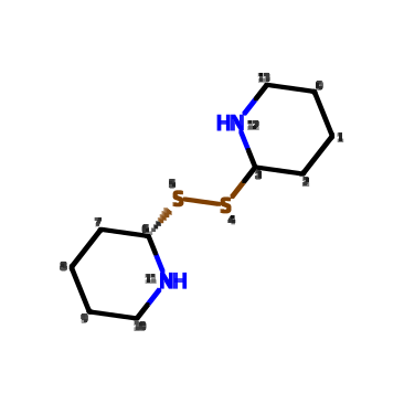 C1CCC(SS[C@H]2CCCCN2)NC1